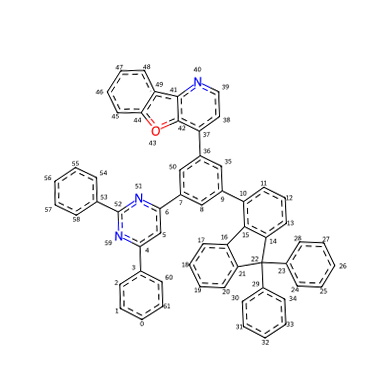 c1ccc(-c2cc(-c3cc(-c4cccc5c4-c4ccccc4C5(c4ccccc4)c4ccccc4)cc(-c4ccnc5c4oc4ccccc45)c3)nc(-c3ccccc3)n2)cc1